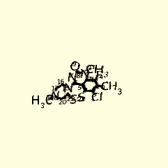 Cc1c(Cl)c2c3c(nc(=O)n(C)c3c1F)N1CCN(C)CC1SS2